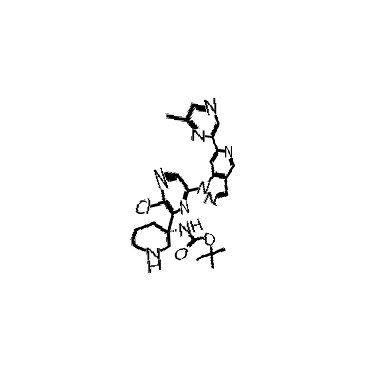 Cc1cncc(-c2cc3c(cn2)cnn3-c2cnc(Cl)c([C@]3(NC(=O)OC(C)(C)C)CCCNC3)n2)n1